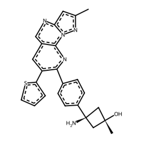 Cc1cc2ncc3cc(-c4cccs4)c(-c4ccc([C@]5(N)C[C@](C)(O)C5)cc4)nc3n2n1